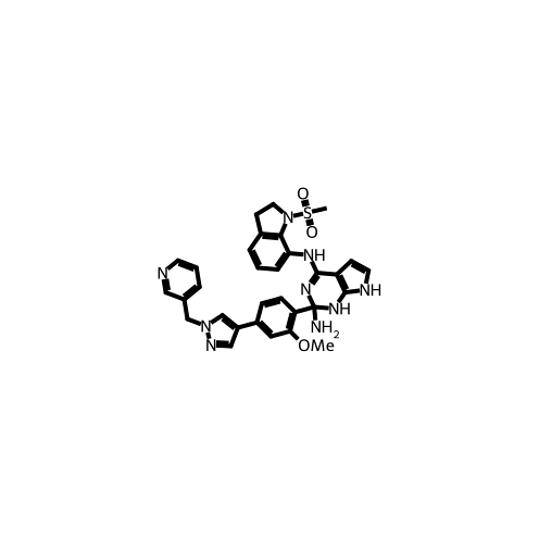 COc1cc(-c2cnn(Cc3cccnc3)c2)ccc1C1(N)N=C(Nc2cccc3c2N(S(C)(=O)=O)CC3)c2cc[nH]c2N1